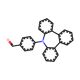 O=Cc1ccc(N2c3ccccc3-c3ccccc3-c3ccccc32)cc1